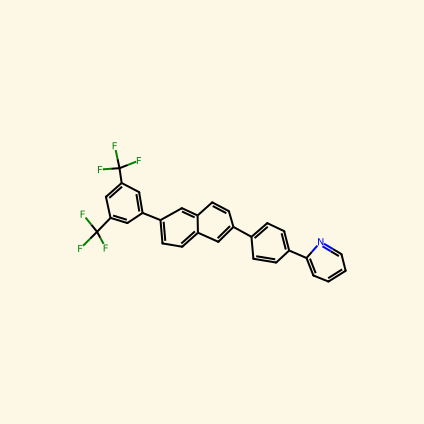 FC(F)(F)c1cc(-c2ccc3cc(-c4ccc(-c5ccccn5)cc4)ccc3c2)cc(C(F)(F)F)c1